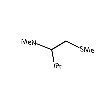 CNC(CSC)C(C)C